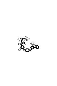 CN(C)CC(C)(C)CNC(=O)c1ccc(OC2CCN(Cc3ccc4c(c3)c3ccccc3n4C)CC2)c(Cl)c1